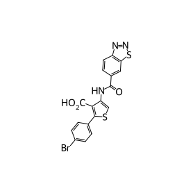 O=C(Nc1csc(-c2ccc(Br)cc2)c1C(=O)O)c1ccc2nnsc2c1